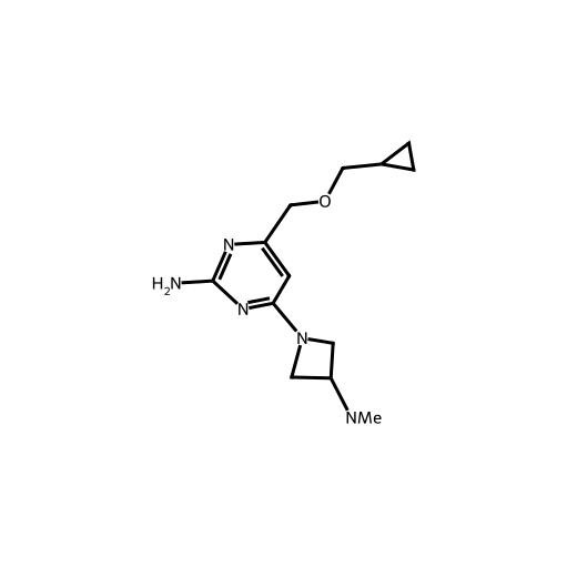 CNC1CN(c2cc(COCC3CC3)nc(N)n2)C1